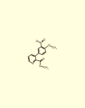 COC(=O)c1ncccc1-c1ccc(OC)c([N+](=O)[O-])c1